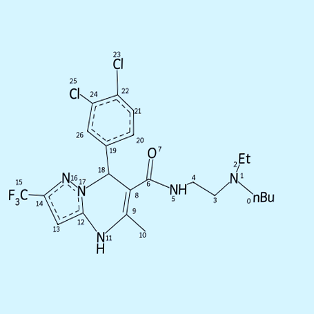 CCCCN(CC)CCNC(=O)C1=C(C)Nc2cc(C(F)(F)F)nn2C1c1ccc(Cl)c(Cl)c1